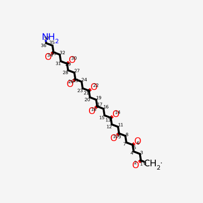 [CH2]C(=O)CCC(=O)CCC(=O)CCC(=O)CCC(=O)CCC(=O)CCC(=O)CCC(=O)CCC(=O)CCN